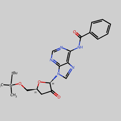 CC(C)(C)[Si](C)(C)OC[C@@H]1CC(=O)[C@H](n2cnc3c(NC(=O)c4ccccc4)ncnc32)O1